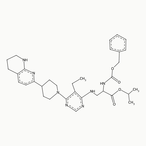 CCc1c(NCC(NC(=O)OCc2ccccc2)C(=O)OC(C)C)ncnc1N1CCC(c2ccc3c(n2)NCCC3)CC1